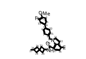 COc1ccc(-c2ccc(Cn3ccc4c(F)ccc(C(=O)NC5CC6(CC(C)C6)C5)c43)cc2)cc1F